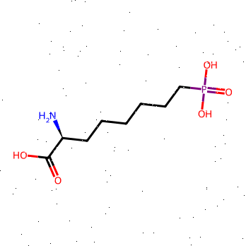 N[C@@H](CCCCCCP(=O)(O)O)C(=O)O